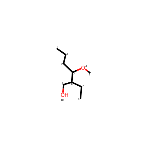 CCCC(OC)C(CC)CO